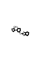 CCc1ccc(Oc2nc3ccccc3s2)cc1C1=CCCC1=O